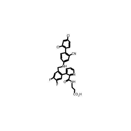 N#Cc1cc(NCc2cc(F)c(F)cc2-c2cccnc2C(=O)NCCC(=O)O)ccc1-c1ccc(Cl)cc1Cl